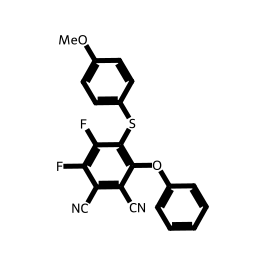 COc1ccc(Sc2c(F)c(F)c(C#N)c(C#N)c2Oc2ccccc2)cc1